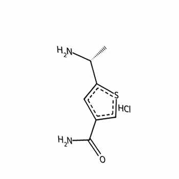 C[C@@H](N)c1cc(C(N)=O)cs1.Cl